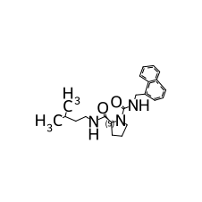 CC(C)CCNC(=O)[C@@H]1CCCN1C(=O)NCc1cccc2ccccc12